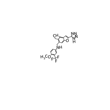 CCc1cc2cc(-c3nnn[nH]3)oc2cc1CNc1ccc(OC)c(C(F)(F)F)c1